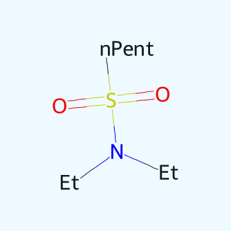 [CH2]CN(CC)S(=O)(=O)CCCCC